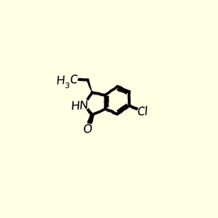 CC[C@@H]1NC(=O)c2cc(Cl)ccc21